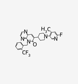 Cc1cc(F)ncc1N1CCC(c2cc3nccnc3n(Cc3ccccc3C(F)(F)F)c2=O)CC1